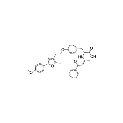 COc1ccc(-c2nc(CCOc3ccc(CC(N/C(C)=C\C(=O)c4ccccc4)C(=O)O)cc3)c(C)o2)cc1